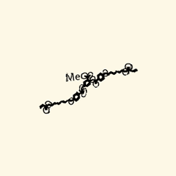 C=CC(=O)OCCCCCCOc1ccc(C(=O)Oc2ccc(OC(=O)c3ccc(OCCCCCCOC(=O)C=C)cc3)c(C(=O)OC)c2)cc1